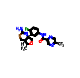 NC1=N[C@@]2(c3cc(NC(=O)c4cnc(C(F)(F)F)cn4)ccc3F)CO[C@H](C(F)(F)F)[C@H]2CS1